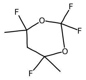 CC1(F)CC(C)(F)OC(F)(F)O1